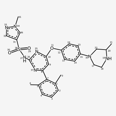 Cc1cccc(C)c1-c1cc(Oc2ccc(N3CCNC(C)C3)cc2)nc(NS(=O)(=O)c2cnn(C)c2)n1